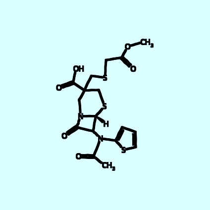 COC(=O)CSCC1(C(=O)O)CS[C@@H]2C(N(C(C)=O)c3cccs3)C(=O)N2C1